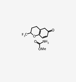 COC(N)=O.O=C1C=CC2=C(CCC(C(F)(F)F)O2)C1